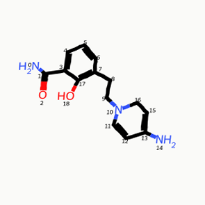 NC(=O)c1cccc(CCN2C=CC(N)=CC2)c1O